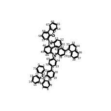 c1ccc([Si](c2ccccc2)(c2ccccc2)c2cccc(-c3ccc(N(c4ccc(-c5cccc6ccccc56)cc4)c4cccc5c4c4ccccc4n5-c4cccc5c4sc4ccccc45)cc3)c2)cc1